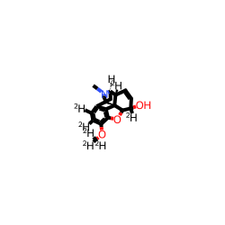 [2H]c1c([2H])c(OC([2H])([2H])[2H])c2c3c1C[C@H]1N(C)CC[C@@]34C(O2)C([2H])(O)C=C[C@@]14[2H]